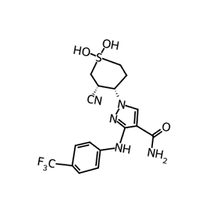 N#C[C@@H]1CS(O)(O)CC[C@@H]1n1cc(C(N)=O)c(Nc2ccc(C(F)(F)F)cc2)n1